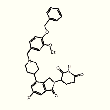 CCOc1cc(CN2CCC(c3cc(F)cc4c3CN(C3CCC(=O)NC3=O)C4=O)CC2)ccc1OCc1ccccc1